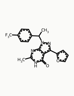 Cc1nc2c(c(-c3ccco3)nn2C(C)c2ccc(C(F)(F)F)cc2)c(=O)[nH]1